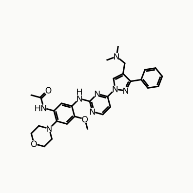 COc1cc(N2CCOCC2)c(NC(C)=O)cc1Nc1nccc(-n2cc(CN(C)C)c(-c3ccccc3)n2)n1